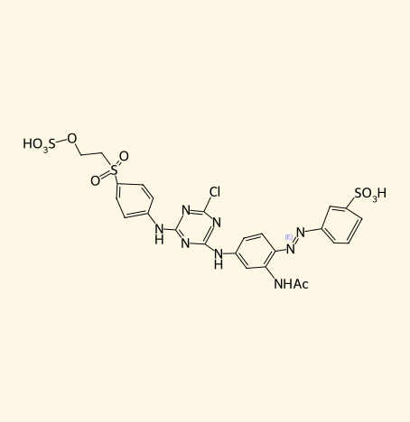 CC(=O)Nc1cc(Nc2nc(Cl)nc(Nc3ccc(S(=O)(=O)CCOS(=O)(=O)O)cc3)n2)ccc1/N=N/c1cccc(S(=O)(=O)O)c1